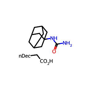 CCCCCCCCCCCC(=O)O.NC(=O)NC12CC3CC(CC(C3)C1)C2